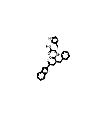 O=C(CC(Cc1ccccc1)C(=O)N[C@@H](Cc1c[nH]cn1)C(=O)O)c1cc2ccccc2o1